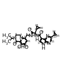 CC(C)N1CCn2c(CNC(=O)C(NC(=O)c3c[nH]c4ncc(C5CC5)nc34)C3CC3)cc(=O)c(O)c2C1=O